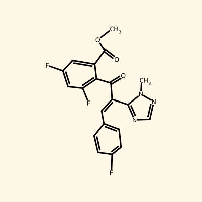 COC(=O)c1cc(F)cc(F)c1C(=O)C(=Cc1ccc(F)cc1)c1ncnn1C